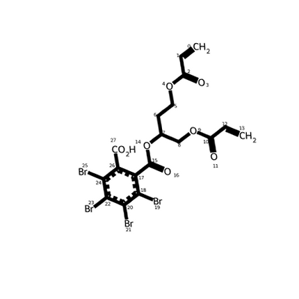 C=CC(=O)OCCC(COC(=O)C=C)OC(=O)c1c(Br)c(Br)c(Br)c(Br)c1C(=O)O